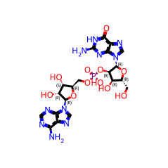 Nc1nc2c(ncn2[C@@H]2O[C@H](CO)[C@@H](O)[C@H]2OP(=O)(O)OC[C@H]2O[C@@H](n3cnc4c(N)ncnc43)[C@H](O)[C@@H]2O)c(=O)[nH]1